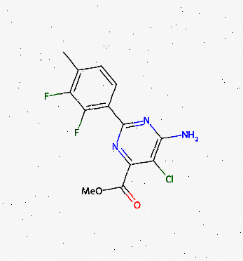 COC(=O)c1nc(-c2ccc(C)c(F)c2F)nc(N)c1Cl